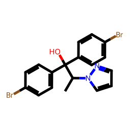 CC(n1cccn1)C(O)(c1ccc(Br)cc1)c1ccc(Br)cc1